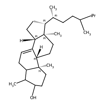 CC(C)C(C)CC[C@@H](C)[C@H]1CC[C@H]2C3=CCC4C(C)C(O)CC[C@]4(C)[C@H]3CC[C@]12C